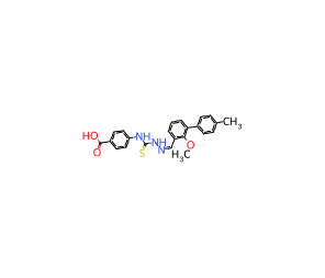 COc1c(/C=N\NC(=S)Nc2ccc(C(=O)O)cc2)cccc1-c1ccc(C)cc1